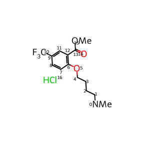 CNCCCCOc1ccc(C(F)(F)F)cc1C(=O)OC.Cl